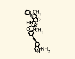 Cc1cc(=O)c(C(=O)N[C@H]2COc3ccc(C#Cc4ccc5c(N)nccc5c4)cc3N(C)C2=O)nn1-c1ccccc1